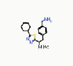 CC(=O)NC(Cc1ccc(CN)cc1)c1nnc(C2CCCCC2)s1